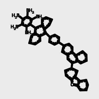 Bc1c(B)c(B)c(-c2c3ccccc3c(-c3ccc(-c4ccc5c(c4)cc(-c4ccc6oc7ccccc7c6c4)c4ccccc45)cc3)c3ccccc23)c(B)c1B